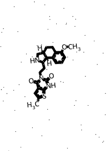 COc1cccc2c1CC[C@H]1CNC(CCn3c(=O)[nH]c4sc(C)cc4c3=O)[C@@H]21